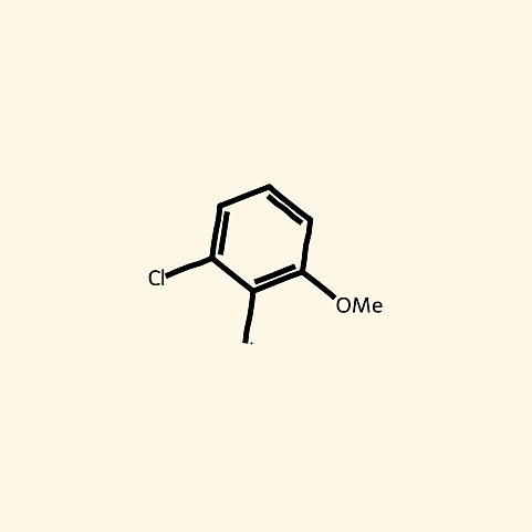 [CH2]c1c(Cl)cccc1OC